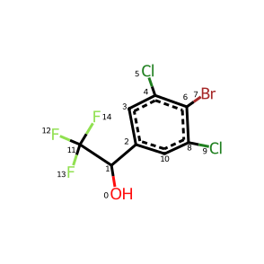 OC(c1cc(Cl)c(Br)c(Cl)c1)C(F)(F)F